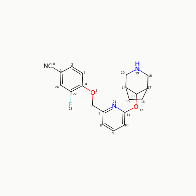 N#Cc1ccc(OCc2cccc(OC3C4CCC3CNC4)n2)c(F)c1